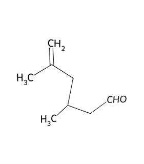 C=C(C)CC(C)CC=O